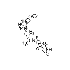 CC1CN(c2cc3c(cc2F)C(=O)N(C2CCC(=O)NC2=O)C3=O)CC(C)N1CC1CCC(n2nc(-c3ccc(Oc4ccccc4)cc3)c3c(N)ncnc32)CC1